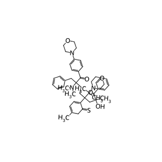 CC1=CC=C(C(CCC(Cc2ccccc2)(C(=O)c2ccc(N3CCOCC3)cc2)N(C)C)(CC(C)(O)C(=O)c2ccccc2)C(C)(C)N2CCOCC2)C(=S)C1